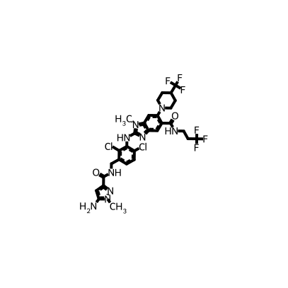 Cn1nc(C(=O)NCc2ccc(Cl)c(Nc3nc4cc(C(=O)NCCC(F)(F)F)c(N5CCC(C(F)(F)F)CC5)cc4n3C)c2Cl)cc1N